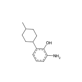 CC1CCC(c2cccc(N)c2O)CC1